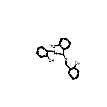 Oc1ccccc1C=NC(N=Cc1ccccc1O)c1ccccc1O